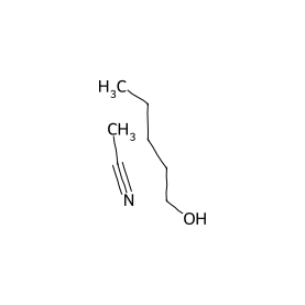 CC#N.CCCCCO